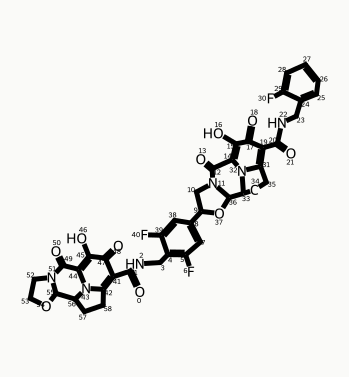 O=C(NCc1c(F)cc(C2CN3C(=O)c4c(O)c(=O)c(C(=O)NCc5ccccc5F)c5n4C(CC5)C3O2)cc1F)c1c2n3c(c(O)c1=O)C(=O)N1CCOC1C3CC2